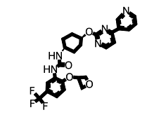 O=C(Nc1cc(C(F)(F)F)ccc1OC1COC1)N[C@H]1CC[C@H](Oc2nccc(-c3cccnc3)n2)CC1